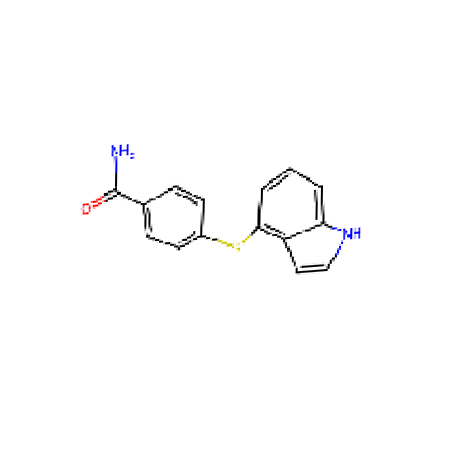 NC(=O)c1ccc(Sc2cccc3[nH]ccc23)cc1